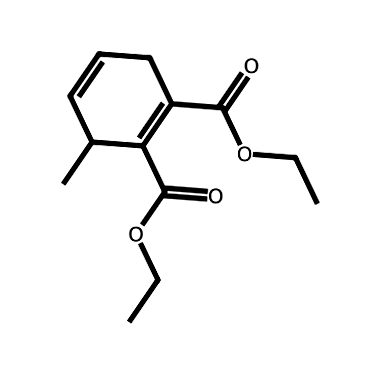 CCOC(=O)C1=C(C(=O)OCC)C(C)C=CC1